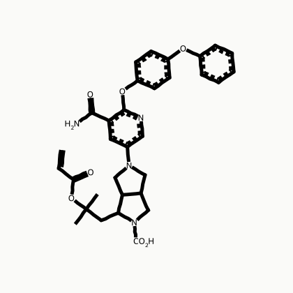 C=CC(=O)OC(C)(C)CC1C2CN(c3cnc(Oc4ccc(Oc5ccccc5)cc4)c(C(N)=O)c3)CC2CN1C(=O)O